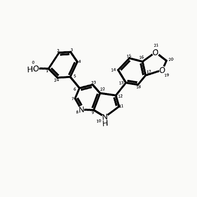 Oc1cccc(-c2cnc3[nH]cc(-c4ccc5c(c4)OCO5)c3c2)c1